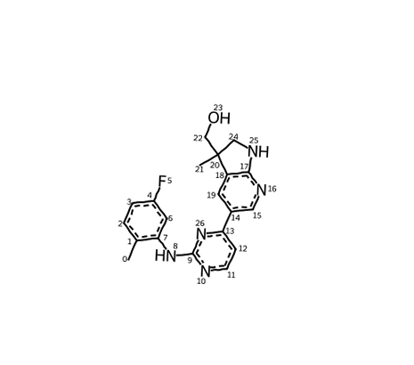 Cc1ccc(F)cc1Nc1nccc(-c2cnc3c(c2)C(C)(CO)CN3)n1